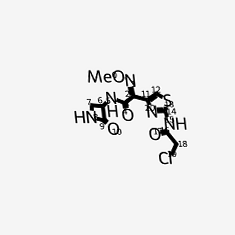 CO/N=C(\C(=O)NC1CNC1=O)c1csc(NC(=O)CCl)n1